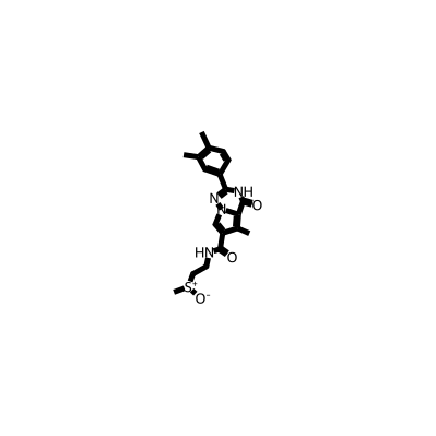 Cc1ccc(-c2nn3cc(C(=O)NCC[S+](C)[O-])c(C)c3c(=O)[nH]2)cc1C